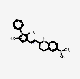 Cc1cc(/C=C/C2CCc3cc(N(C)C)ccc3N2)c(C)n1-c1ccccc1